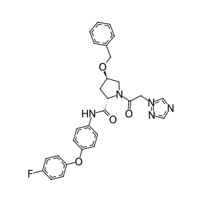 O=C(Nc1ccc(Oc2ccc(F)cc2)cc1)[C@@H]1C[C@@H](OCc2ccccc2)CN1C(=O)Cn1cncn1